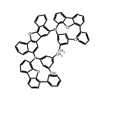 Cc1cc(C)cc(N(c2cc3c4cc(N(c5cc(C)cc(C)c5)c5cccc6c5oc5c(-c7ccccc7)cccc56)c5ccccc5c4oc3c3ccccc23)c2cccc3c2oc2c(-c4ccccc4)cccc23)c1